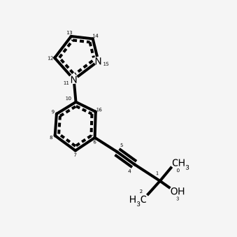 CC(C)(O)C#Cc1cccc(-n2cccn2)c1